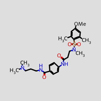 COc1cc(C)c(S(=O)(=O)N(C)CCC(=O)Nc2ccc(C(=O)NCCCN(C)C)cc2)c(C)c1